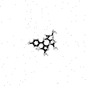 CC1=NNC2N1c1sc(C)c(C)c1C(c1ccc(Cl)cc1)=N[C@]21C[C@H]1CN